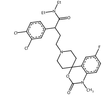 CCN(CC)C(=O)C(CCN1CCC2(CC1)OC(=O)N(C)c1ccc(F)cc12)c1ccc(Cl)c(Cl)c1